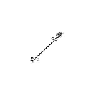 CC(F)(F)COC(=O)CCCCCCCCCCCCCCC(=O)OCCS(=O)(=O)O